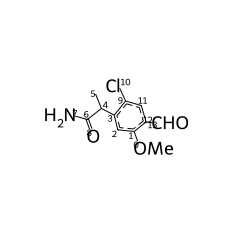 COc1cc(C(C)C(N)=O)c(Cl)cc1C=O